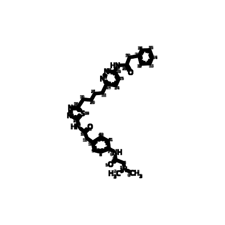 CN(C)CC(=O)Nc1ccc(CC(=O)Nc2nnc(CCCCc3ccc(NC(=O)Cc4ccccc4)nn3)s2)cc1